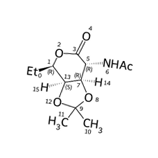 CC[C@H]1OC(=O)[C@H](NC(C)=O)[C@H]2OC(C)(C)O[C@H]21